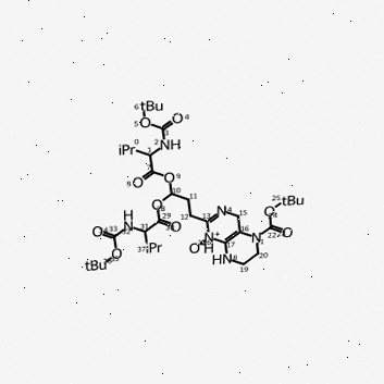 CC(C)C(NC(=O)OC(C)(C)C)C(=O)OC(CCC1=NCC2=C(NCCN2C(=O)OC(C)(C)C)[NH+]1[O-])OC(=O)C(NC(=O)OC(C)(C)C)C(C)C